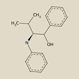 CC(C)[C@H]([N]c1ccccc1)C(O)c1ccccc1